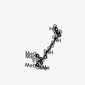 CC[C@H](C(=O)N1CCCC[C@H]1C(=O)O[C@H](CCc1ccc(OC)c(OC)c1)c1cccc(OCC(=O)NCCOCCOCCOCCNC(=O)COc2cccc3c2C(=O)N(C2CCC(=O)NC2=O)C3=O)c1)c1cc(OC)c(OC)c(OC)c1